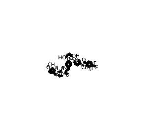 COc1ccc(CN2CCN(C(=O)c3cc4cc(Oc5ccc(N(C)C(=O)c6ccc(C(F)(F)F)cc6)cn5)ccc4n3C)CC2)cc1.O=C(O)/C=C\C(=O)O